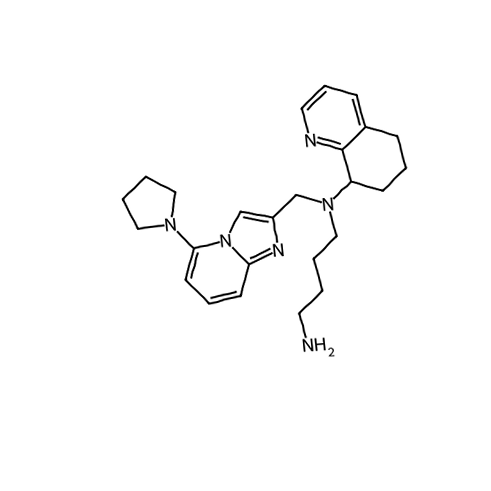 NCCCCN(Cc1cn2c(N3CCCC3)cccc2n1)C1CCCc2cccnc21